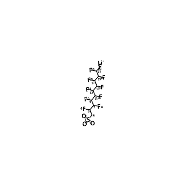 O=S(=O)([O-])CC(F)C(F)C(F)C(F)C(F)C(F)C(F)C(F)C(F)F.[Li+]